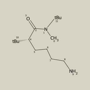 CN(C(=O)[C@H](CCCCN)C(C)(C)C)C(C)(C)C